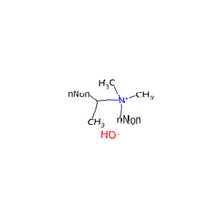 CCCCCCCCCC(C)[N+](C)(C)CCCCCCCCC.[OH-]